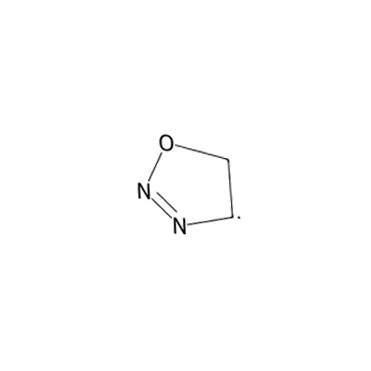 [CH]1CON=N1